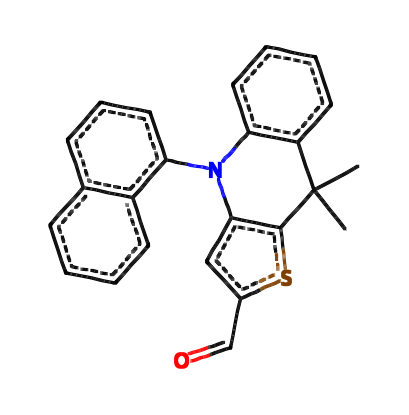 CC1(C)c2ccccc2N(c2cccc3ccccc23)c2cc(C=O)sc21